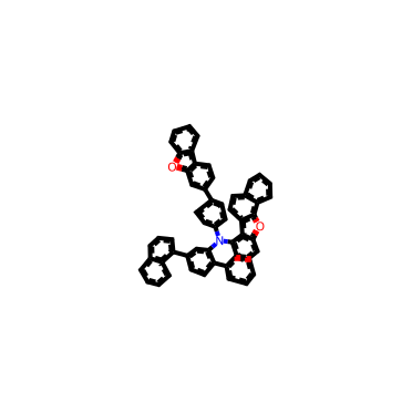 c1ccc(-c2ccc(-c3cccc4ccccc34)cc2N(c2ccc(-c3ccc4c(c3)oc3ccccc34)cc2)c2cccc3oc4c5ccccc5ccc4c23)cc1